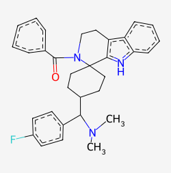 CN(C)C(c1ccc(F)cc1)C1CCC2(CC1)c1[nH]c3ccccc3c1CCN2C(=O)c1ccccc1